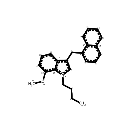 CCCCn1cc(Cc2cccc3ccccc23)c2cccc(OC)c21